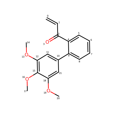 C=CC(=O)c1ccccc1-c1cc(OC)c(OC)c(OC)c1